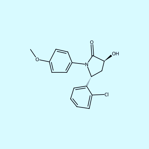 COc1ccc(N2C(=O)[C@@H](O)C[C@@H]2c2ccccc2Cl)cc1